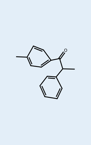 Cc1ccc(C(=O)C(C)c2ccccc2)cc1